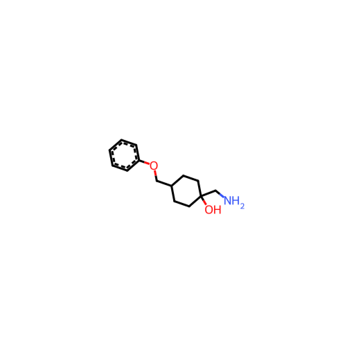 NCC1(O)CCC(COc2ccccc2)CC1